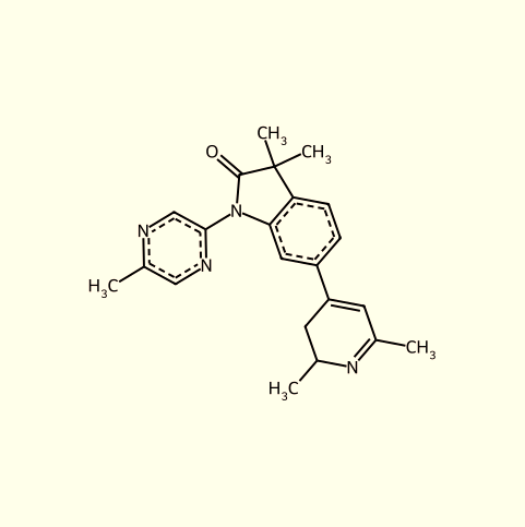 CC1=NC(C)CC(c2ccc3c(c2)N(c2cnc(C)cn2)C(=O)C3(C)C)=C1